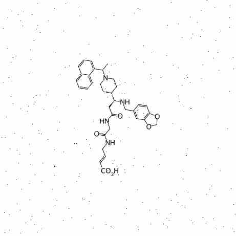 CC(c1cccc2ccccc12)N1CCC([C@H](CC(=O)NCC(=O)NC/C=C/C(=O)O)NCc2ccc3c(c2)OCO3)CC1